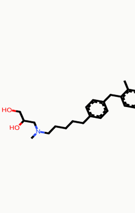 Cc1ccccc1Cc1ccc(CCCCCN(C)CC(O)CO)cc1